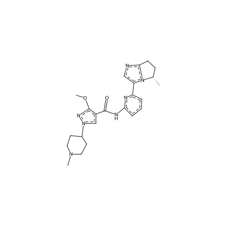 COc1nn(C2CCN(C)CC2)cc1C(=O)Nc1cccc(-c2cnc3n2[C@@H](C)CC3)n1